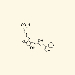 O=C(O)CSCCCSC1C(=O)C[C@@H](O)[C@@H]1C=CC(O)CCc1cccc2ccccc12